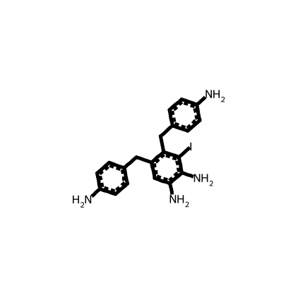 Nc1ccc(Cc2cc(N)c(N)c(I)c2Cc2ccc(N)cc2)cc1